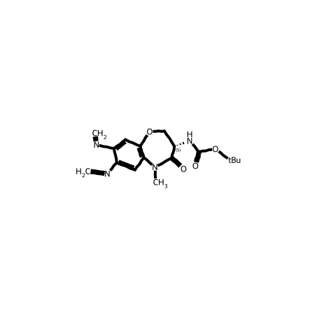 C=Nc1cc2c(cc1N=C)N(C)C(=O)[C@@H](NC(=O)OC(C)(C)C)CO2